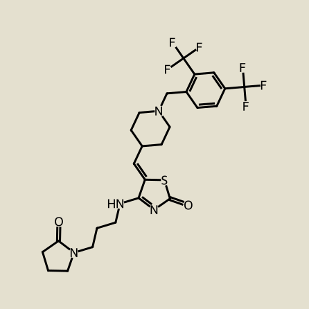 O=C1N=C(NCCCN2CCCC2=O)/C(=C/C2CCN(Cc3ccc(C(F)(F)F)cc3C(F)(F)F)CC2)S1